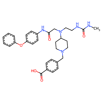 CNC(=O)NCCN(CC(=O)Nc1ccc(Oc2ccccc2)cc1)C1CCN(Cc2ccc(C(=O)O)cc2)CC1